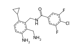 NCc1c(N)ccc(C2CC2)c1CNC(=O)c1cc(F)c(Cl)c(F)c1